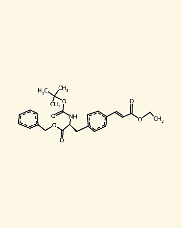 CCOC(=O)/C=C/c1ccc(C[C@H](NC(=O)OC(C)(C)C)C(=O)OCc2ccccc2)cc1